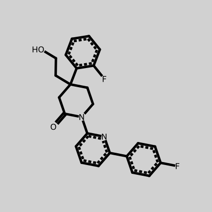 O=C1CC(CCO)(c2ccccc2F)CCN1c1cccc(-c2ccc(F)cc2)n1